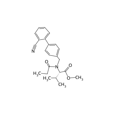 CCC(=O)N(Cc1ccc(-c2ccccc2C#N)cc1)[C@H](C(=O)OC)C(C)C